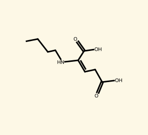 CCCCNC(=CCC(=O)O)C(=O)O